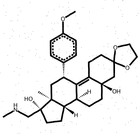 CNC[C@]1(O)CC[C@H]2[C@@H]3CC[C@@]4(O)CC5(CCC4=C3[C@@H](c3ccc(OC)cc3)C[C@@]21C)OCCO5